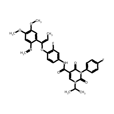 C=Nc1cc(OC)c(OC)cc1/C(=C\C)Oc1ccc(NC(=O)c2cn(C(C)C)c(=O)n(-c3ccc(F)cc3)c2=O)cc1F